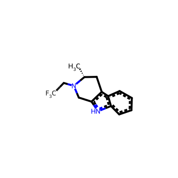 C[C@@H]1Cc2c([nH]c3ccccc23)CN1CC(F)(F)F